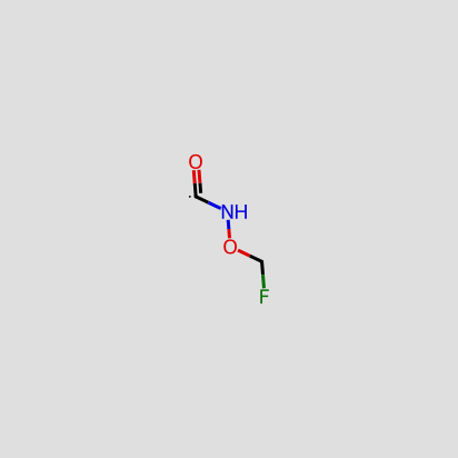 O=[C]NOCF